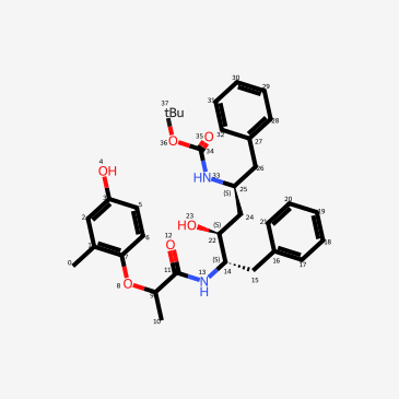 Cc1cc(O)ccc1OC(C)C(=O)N[C@@H](Cc1ccccc1)[C@@H](O)C[C@H](Cc1ccccc1)NC(=O)OC(C)(C)C